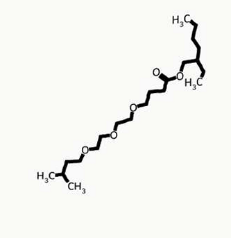 CCCCC(CC)COC(=O)CCCOCCOCCOCCC(C)C